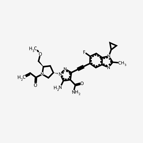 C=CC(=O)N1C[C@@H](n2nc(C#Cc3cc4nc(C)n(C5CC5)c4cc3F)c(C(N)=O)c2N)C[C@@H]1COC